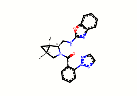 O=C(c1ccccc1-n1nccn1)N1C[C@H]2C[C@H]2[C@H]1CNc1nc2ccccc2o1